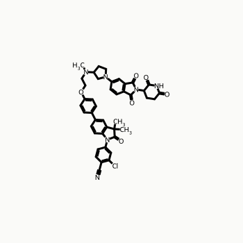 CN(CCOc1ccc(-c2ccc3c(c2)C(C)(C)C(=O)N3c2ccc(C#N)c(Cl)c2)cc1)C1CCN(c2ccc3c(c2)C(=O)N(C2CCC(=O)NC2=O)C3=O)C1